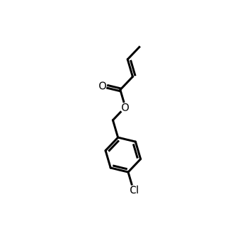 CC=CC(=O)OCc1ccc(Cl)cc1